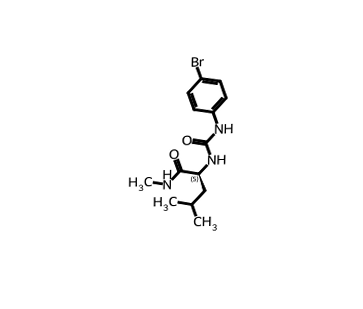 CNC(=O)[C@H](CC(C)C)NC(=O)Nc1ccc(Br)cc1